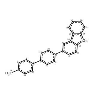 Cc1ccc(-c2ccc(-c3ccc4oc5ccccc5c4c3)cc2)cc1